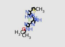 Cc1ccc(-c2cncc3[nH]c(-c4n[nH]c5cnc(-c6cncc(NC(=O)CC(C)C)c6)c(F)c45)nc23)s1